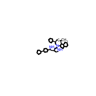 C=C1CC/C(c2ccccc2)=C\N(C2=CC(CC(N)c3ccc(-c4ccccc4)cc3)=CCN2)c2ccc3ccccc3c21